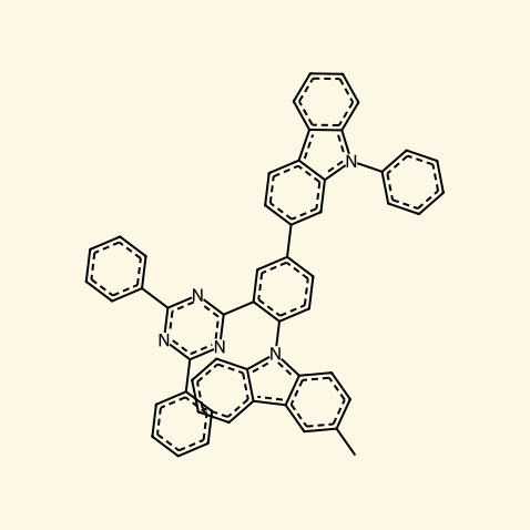 Cc1ccc2c(c1)c1ccccc1n2-c1ccc(-c2ccc3c4ccccc4n(-c4ccccc4)c3c2)cc1-c1nc(-c2ccccc2)nc(-c2ccccc2)n1